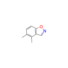 Cc1ccc2oncc2c1C